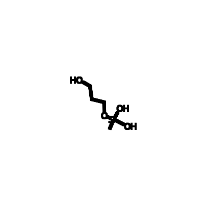 C[Si](O)(O)OCCCO